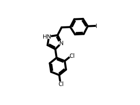 Clc1ccc(-c2c[nH]c(Cc3ccc(I)cc3)n2)c(Cl)c1